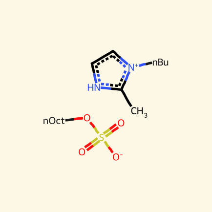 CCCCCCCCOS(=O)(=O)[O-].CCCC[n+]1cc[nH]c1C